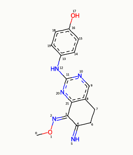 CO/N=C1\C(=N)CCc2cnc(Nc3ccc(O)cc3)nc21